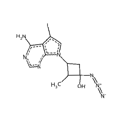 CC1C(n2cc(I)c3c(N)ncnc32)CC1(O)N=[N+]=[N-]